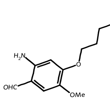 COc1cc(C=O)c(N)cc1OCCCI